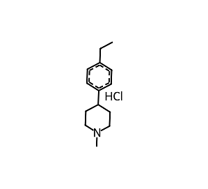 CCc1ccc(C2CCN(C)CC2)cc1.Cl